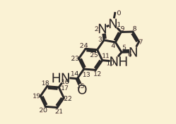 Cn1nc2c3c(nccc31)Nc1cc(C(=O)Nc3ccccc3)ccc1-2